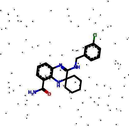 NC(=O)c1cccc2c1NC1(CCCCC1)C(NCc1cccc(Cl)c1)=N2